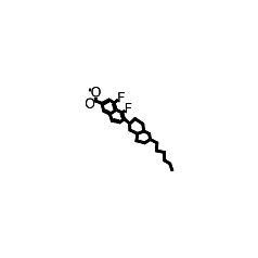 CCCCCCC1CCC2CC(c3ccc4cc(C(=O)OC)cc(F)c4c3F)CCC2C1